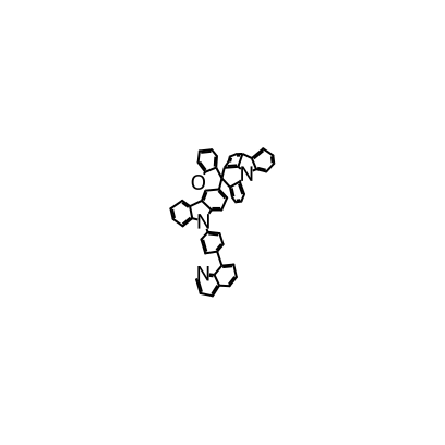 c1ccc2c(c1)Oc1c(ccc3c1c1ccccc1n3-c1ccc(-c3cccc4cccnc34)cc1)C21c2ccccc2-n2c3ccccc3c3cccc1c32